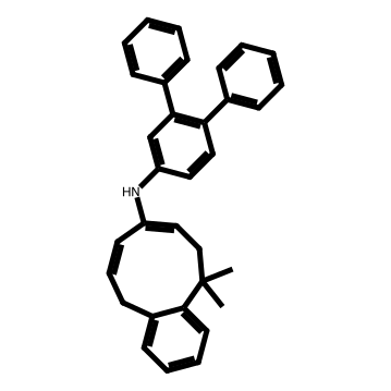 CC1(C)C/C=C(Nc2ccc(-c3ccccc3)c(-c3ccccc3)c2)\C=C/Cc2ccccc21